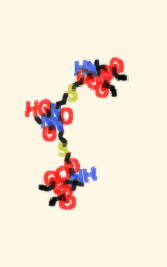 C=CC(=O)OCC(C)(COC(=O)C=C)NC(=O)OCCSCCCN1C(=O)N(CC)C(O)N(CCCSCCOC(=O)NC(C)(COC(=O)C=C)COC(=O)C=C)C1=O